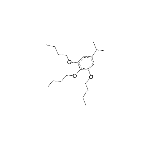 CCCCOc1cc(C(C)C)cc(OCCCC)c1OCCCC